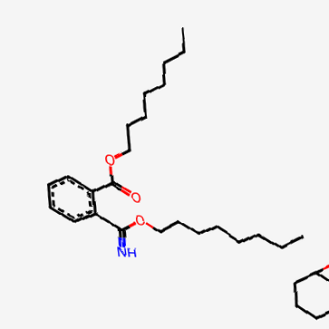 C1CCC2OC2C1.CCCCCCCCOC(=N)c1ccccc1C(=O)OCCCCCCCC